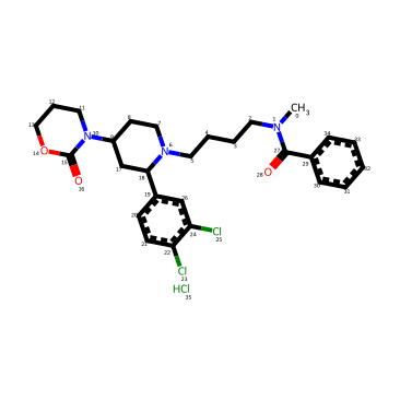 CN(CCCCN1CCC(N2CCCOC2=O)CC1c1ccc(Cl)c(Cl)c1)C(=O)c1ccccc1.Cl